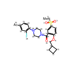 CNS(=O)(=O)c1ccc(OCC2CCC2)c(C(=O)N2CCN(c3ccc(C(C)=O)cc3F)CC2)c1